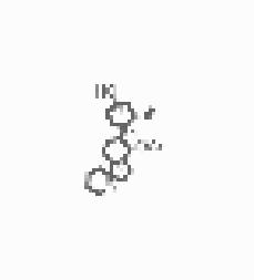 C=C[C@H]1C[C@@H](O)CC[C@]1(C)C1CC[C@@]2(C)C(CCC23CCCCO3)[C@@H]1OC(C)=O